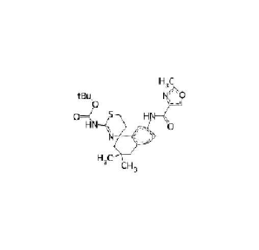 Cc1nc(C(=O)Nc2ccc3c(c2)C2(CCSC(NC(=O)OC(C)(C)C)=N2)CC(C)(C)C3)co1